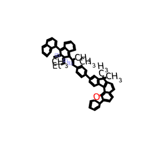 C/C=c1/c(-c2cccc3ccccc23)c2ccccc2c(/C(C)=C/c2ccc(-c3ccc4c(c3)C(C)(C)c3ccc5ccc6c(c5c3-4)OC3C=CC=CC63)cc2C)/c1=C/CC